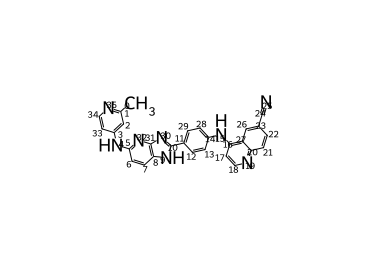 Cc1cc(Nc2ccc3[nH]c(-c4ccc(Nc5ccnc6ccc(C#N)cc56)cc4)nc3n2)ccn1